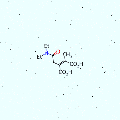 CCN(CC)C(=O)CC(C(=O)O)=C(C)C(=O)O